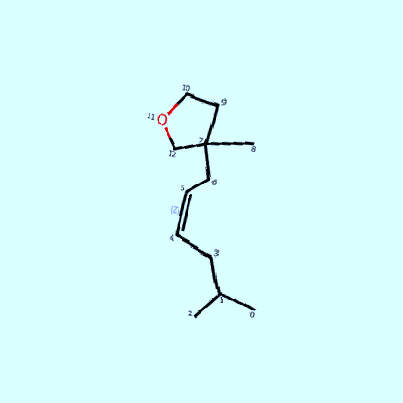 CC(C)C/C=C\CC1(C)CCOC1